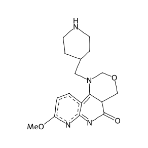 COc1ccc2c(n1)=NC(=O)C1COCN(CC3CCNCC3)C=21